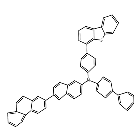 c1ccc(-c2ccc(N(c3ccc(-c4cccc5c4sc4ccccc45)cc3)c3ccc4cc(-c5ccc6c(ccc7ccccc76)c5)ccc4c3)cc2)cc1